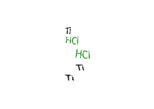 Cl.Cl.[Ti].[Ti].[Ti]